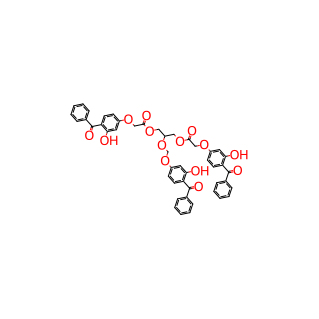 O=C(COc1ccc(C(=O)c2ccccc2)c(O)c1)OCC(COC(=O)COc1ccc(C(=O)c2ccccc2)c(O)c1)OCOc1ccc(C(=O)c2ccccc2)c(O)c1